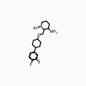 CC(=O)N1CCCC(N)C1COC1CCC(c2ccc(F)c(F)c2)CC1